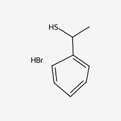 Br.CC(S)c1ccccc1